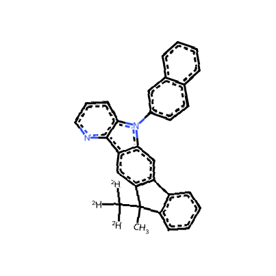 [2H]C([2H])([2H])C1(C)c2ccccc2-c2cc3c(cc21)c1ncccc1n3-c1ccc2ccccc2c1